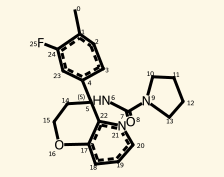 Cc1ccc([C@@]2(NC(=O)N3CCCC3)CCOc3cccnc32)cc1F